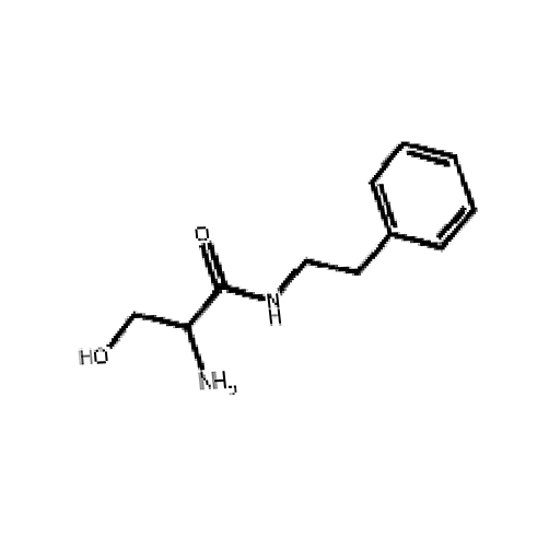 NC(CO)C(=O)NCCc1ccccc1